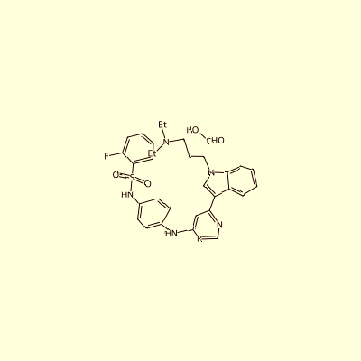 CCN(CC)CCCn1cc(-c2cc(Nc3ccc(NS(=O)(=O)c4ccccc4F)cc3)ncn2)c2ccccc21.O=CO